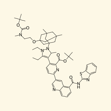 CCC1=C(c2ccc(-c3cnc4cccc(C(=O)Nc5nc6ccccc6s5)c4c3)nc2C(=O)OC(C)(C)C)C(C)N(C23CC4(C)CC(C)(CC(OCCN(C)C(=O)OC(C)(C)C)(C4)C2)C3)N1CC